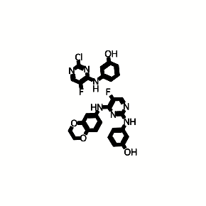 Oc1cccc(Nc2nc(Cl)ncc2F)c1.Oc1cccc(Nc2ncc(F)c(Nc3ccc4c(c3)OCCO4)n2)c1